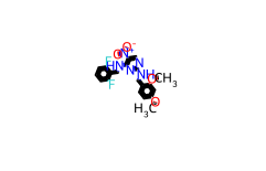 COc1ccc(CNc2ncc([N+](=O)[O-])c(NCc3c(F)cccc3F)n2)c(OC)c1